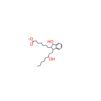 CCCCCC(O)CCC1c2ccccc2C(O)C1CCCCCCC(=O)OC